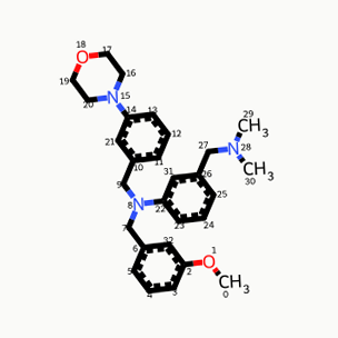 COc1cccc(CN(Cc2cccc(N3CCOCC3)c2)c2cccc(CN(C)C)c2)c1